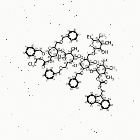 CCC1O[C@H](OCC2O[C@@H](O[C@@H]3C(COCc4ccccc4)O[C@@H](O[C@@H]4C(COCc5ccccc5)O[C@@H](OCc5ccccc5)C(NC(=O)OCC(Cl)(Cl)Cl)[C@H]4C)C(C)[C@H]3C)C(OCc3ccccc3)[C@@H](O[C@H]3OC(CC)[C@@H](C)[C@H](C)C3OC(=O)OCC3c4ccccc4-c4ccccc43)[C@@H]2C)C(O)[C@@H](C)[C@@H]1C